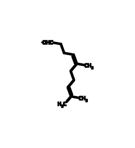 CC(C)=CCCC(C)=CCC[C]=O